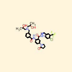 CC(O)CN(Cc1cccc(C(=O)Nc2ccc(N3CCCC3=O)cc2C(=O)N/N=C\c2ccc(Cl)c(C(F)(F)F)c2)c1)CC(C)O